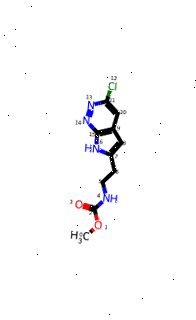 COC(=O)NCCc1cc2cc(Cl)nnc2[nH]1